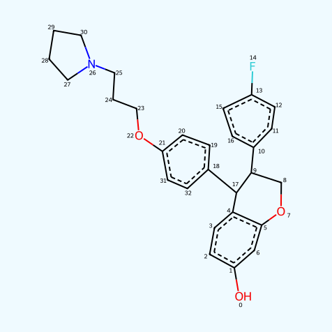 Oc1ccc2c(c1)OCC(c1ccc(F)cc1)C2c1ccc(OCCCN2CCCC2)cc1